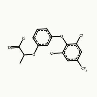 CC(Oc1cccc(Oc2c(Cl)cc(C(F)(F)F)cc2Cl)c1)C(=O)Cl